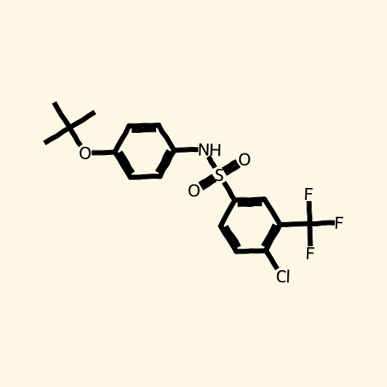 CC(C)(C)Oc1ccc(NS(=O)(=O)c2ccc(Cl)c(C(F)(F)F)c2)cc1